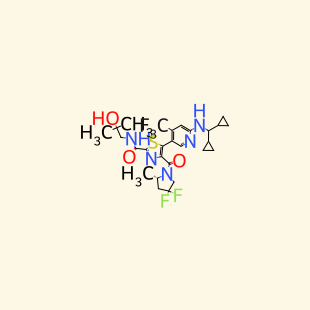 C[C@H]1CC(F)(F)CN1C(=O)c1nc(C(=O)NCC(C)(C)O)sc1-c1cnc(NC(C2CC2)C2CC2)cc1C(F)(F)F